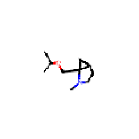 CC(C)OCC12CC1CCN2C